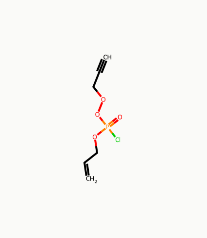 C#CCOOP(=O)(Cl)OCC=C